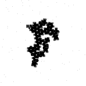 CC(C)(C)CN(CC(=O)OC(C)(C)C)Cc1cc(-c2ccc3c(c2)c2ccccc2n3CC(=O)N(CC(=O)OC(C)(C)C)CC(=O)OC(C)(C)C)cc(CN(CCc2ccc(N)cc2)Cc2cc(-c3ccc4c(c3)c3ccccc3n4CC(=O)N(CC(C)(C)C)CC(C)(C)C)cc(CN(CC(=O)OC(C)(C)C)CC(C)(C)C)n2)n1